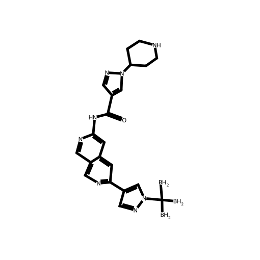 BC(B)(B)n1cc(-c2cc3cc(NC(=O)c4cnn(C5CCNCC5)c4)ncc3cn2)cn1